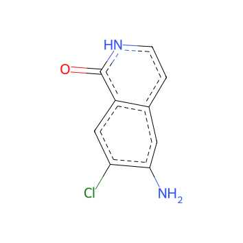 Nc1cc2cc[nH]c(=O)c2cc1Cl